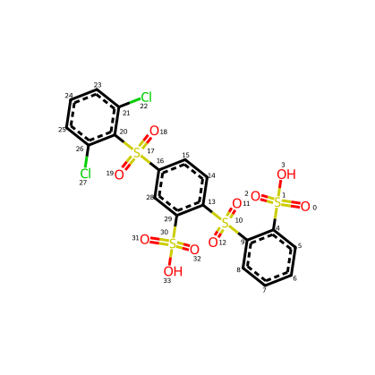 O=S(=O)(O)c1ccccc1S(=O)(=O)c1ccc(S(=O)(=O)c2c(Cl)cccc2Cl)cc1S(=O)(=O)O